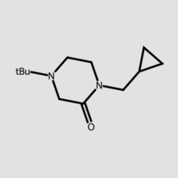 CC(C)(C)N1CCN(CC2CC2)C(=O)C1